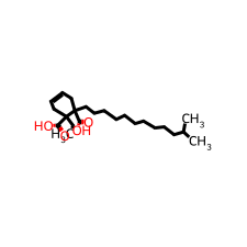 CCC1(C(=O)O)CC=CCC1(CCCCCCCCCCC(C)C)C(=O)O